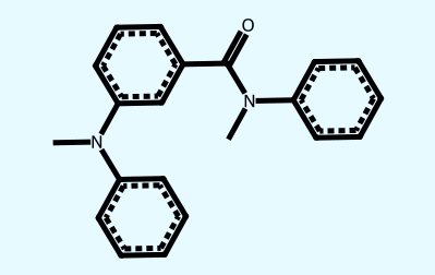 CN(C(=O)c1cccc(N(C)c2ccccc2)c1)c1ccccc1